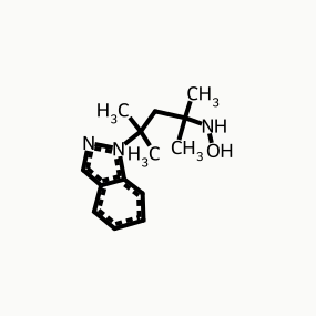 CC(C)(CC(C)(C)n1ncc2ccccc21)NO